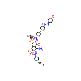 Nc1c(N=Nc2ccc([N+](=O)[O-])cc2)c(S(=O)(=O)[O-])cc2c1C(=O)C(=NNc1ccc(-c3ccc(NN=C4C=CC(=O)C=C4)cc3)cc1)C(S(=O)(=O)[O-])=C2.[Na+].[Na+]